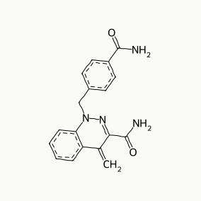 C=C1C(C(N)=O)=NN(Cc2ccc(C(N)=O)cc2)c2ccccc21